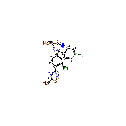 Fc1ccc(C2(c3ccc(-c4nsc(S)n4)c(Cl)c3)N=C(S)SN2)cc1